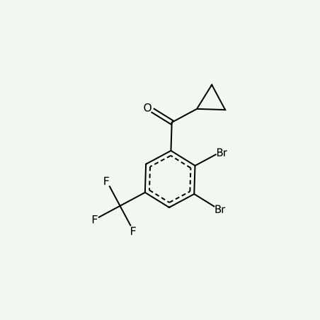 O=C(c1cc(C(F)(F)F)cc(Br)c1Br)C1CC1